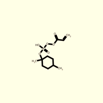 C=CC(=O)OOP(=O)(O)OC1(C)CCC(C)CC1